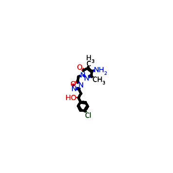 Cc1nn(Cc2nc(C[C@H](O)c3ccc(Cl)cc3)no2)c(=O)c(C)c1N